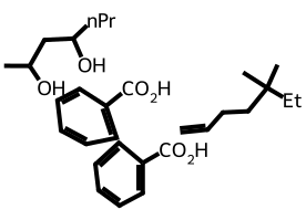 C=CCCC(C)(C)CC.CCCC(O)CC(C)O.O=C(O)c1ccccc1.O=C(O)c1ccccc1